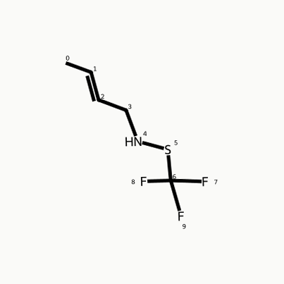 C/C=C/CNSC(F)(F)F